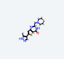 Cc1[nH]ncc1-c1cc2nc(CN3CCSCC3)[nH]c(=O)c2s1